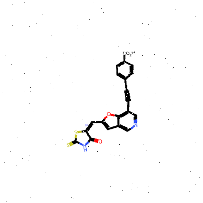 O=C1NC(=S)S/C1=C/c1cc2cncc(C#Cc3ccc(C(=O)O)cc3)c2o1